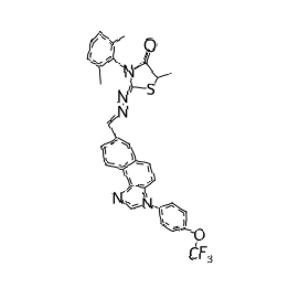 Cc1cccc(C)c1N1C(=O)C(C)SC1=NN=Cc1ccc2c(ccc3c2ncn3-c2ccc(OC(F)(F)F)cc2)c1